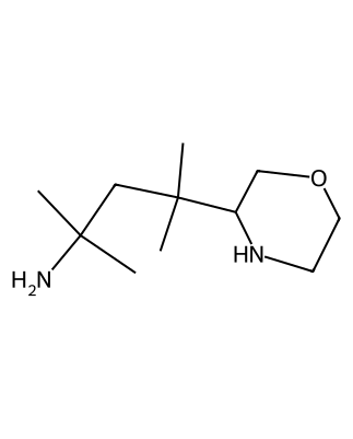 CC(C)(N)CC(C)(C)C1COCCN1